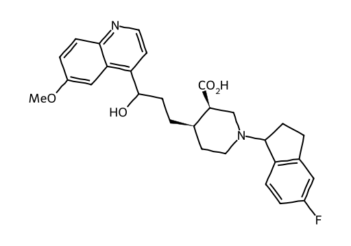 COc1ccc2nccc(C(O)CC[C@@H]3CCN(C4CCc5cc(F)ccc54)C[C@@H]3C(=O)O)c2c1